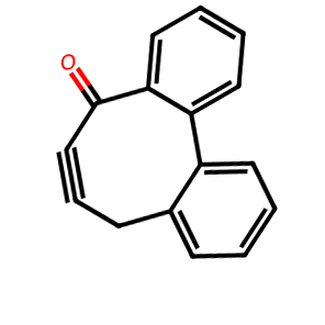 O=C1C#CCc2ccccc2-c2ccccc21